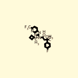 CC(O)(CC(O)Nc1nc2ccc(C(F)(F)F)nc2n1C1(C)CCC1)c1ccc(F)cc1